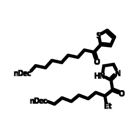 CCCCCCCCCCCCCCCCC(CC)C(=O)C1=NCCN1.CCCCCCCCCCCCCCCCCC(=O)c1cccs1